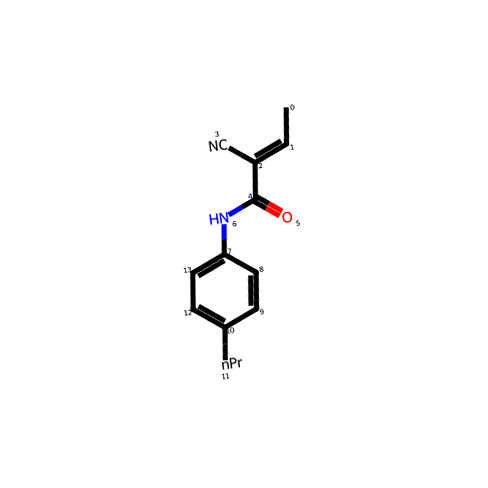 C/C=C(\C#N)C(=O)Nc1ccc(CCC)cc1